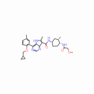 COCC(=O)N[C@@H]1CC[C@@H](NC(=O)c2c(C)[nH]c3c(-c4cc(C)ccc4OCC4CC4)ncnc23)C[C@H]1C